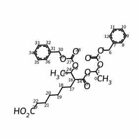 CC(OC(=O)OCc1ccccc1)OC(=O)C(CCCCCCC(=O)O)C(C)OC(=O)OCc1ccccc1